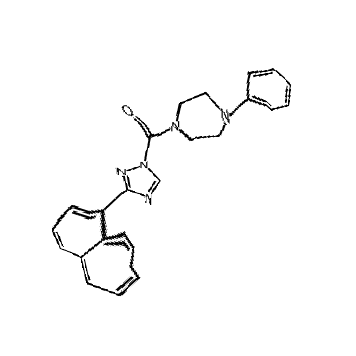 O=C(N1CCN(c2ccccc2)CC1)n1cnc(-c2cccc3ccccc23)n1